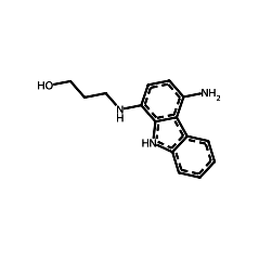 Nc1ccc(NCCCO)c2[nH]c3ccccc3c12